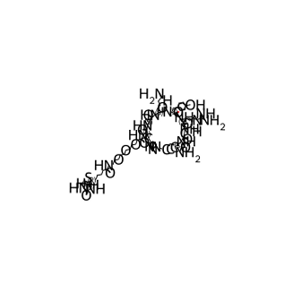 C[C@@H]1NC(=O)[C@@H](NC(=O)COCCOCCOCCNC(=O)CCCC[C@H]2SC[C@H]3NC(=O)N[C@H]32)Cc2cn(nn2)CCCC[C@@H](C(N)=O)NC(=O)CNC(=O)[C@H](CCCNC(=N)N)NC(=O)[C@H](Cc2ccc(O)cc2)NC(=O)[C@H](CCCCN)NC1=O